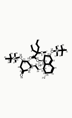 CCCC(CC)(CC)C(=O)O[C@H]1C[C@H](O[Si](C)(C)C(C)(C)C)C=C2C=C[C@H](C)[C@H](CC[C@@H]3C[C@@H](O[Si](C)(C)C(C)(C)C)CC(=O)O3)[C@H]21